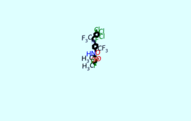 C[C@H](CS(=O)(=O)CC(C)(F)F)NC(=O)c1ccc(/C(F)=C/C(c2cc(Cl)c(Cl)c(Cl)c2)C(F)(F)F)cc1C(F)(F)F